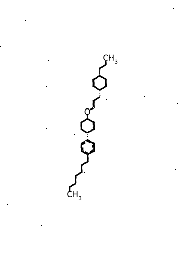 CCCCCCCc1ccc([C@H]2CC[C@H](OCCC[C@H]3CC[C@H](CCC)CC3)CC2)cc1